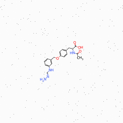 CC(=O)NC(Cc1ccc(OCc2cccc(NC=NN)c2)cc1)C(=O)O